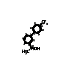 C[C@@H](O)c1cccc(-c2ccc(C(F)(F)F)cc2)c1